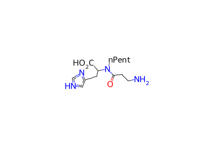 CCCCCN(C(=O)CCN)C(Cc1c[nH]cn1)C(=O)O